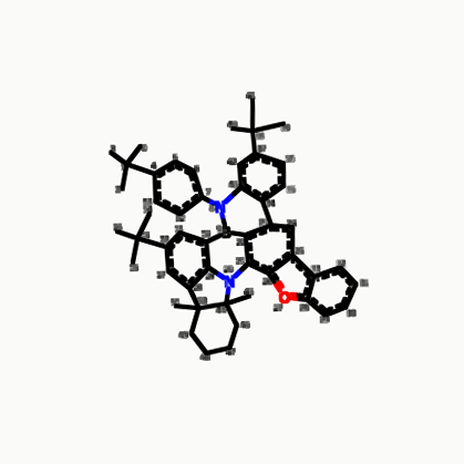 CC(C)(C)c1ccc(N2B3c4cc(C(C)(C)C)cc5c4N(c4c3c(cc3c4oc4ccccc43)-c3ccc(C(C)(C)C)cc32)C2(C)CCCCC52C)cc1